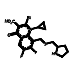 CCc1c(C(=O)O)c(=O)c2cc(F)c(F)c(CSCC3CCCN3)c2n1C1CC1